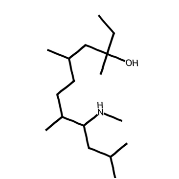 CCC(C)(O)CC(C)CCC(C)C(CC(C)C)NC